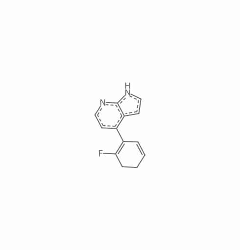 FC1=C(c2ccnc3[nH]ccc23)C=CCC1